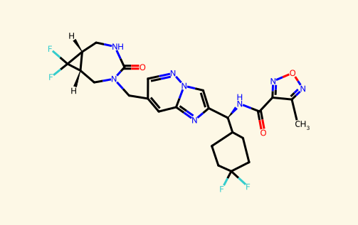 Cc1nonc1C(=O)N[C@H](c1cn2ncc(CN3C[C@H]4[C@@H](CNC3=O)C4(F)F)cc2n1)C1CCC(F)(F)CC1